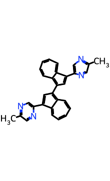 Cc1cnc(-c2cc(-c3cc(-c4cnc(C)cn4)c4cccccc3-4)c3cccccc2-3)cn1